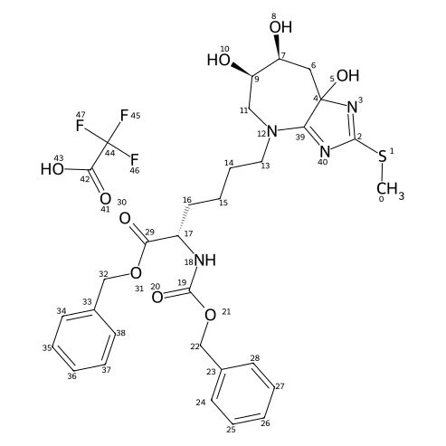 CSC1=NC2(O)C[C@H](O)[C@H](O)CN(CCCC[C@H](NC(=O)OCc3ccccc3)C(=O)OCc3ccccc3)C2=N1.O=C(O)C(F)(F)F